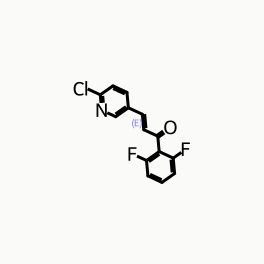 O=C(/C=C/c1ccc(Cl)nc1)c1c(F)cccc1F